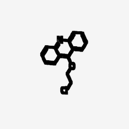 ClCCOc1c2ccccc2nc2ccccc12